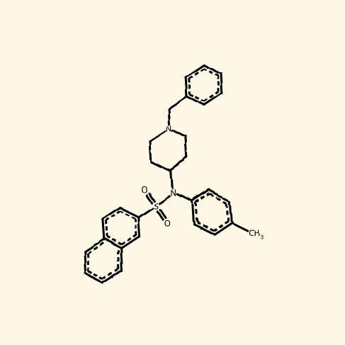 Cc1ccc(N(C2CCN(Cc3ccccc3)CC2)S(=O)(=O)c2ccc3ccccc3c2)cc1